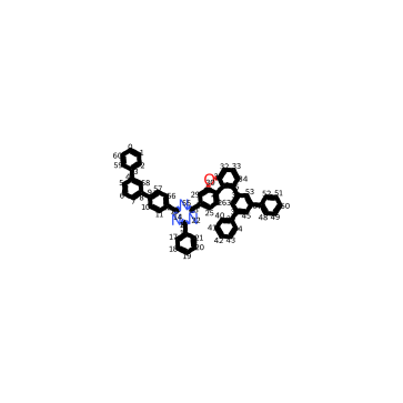 c1ccc(-c2cccc(-c3ccc(-c4nc(-c5ccccc5)nc(-c5ccc6c(c5)oc5cccc(-c7cc(-c8ccccc8)cc(-c8ccccc8)c7)c56)n4)cc3)c2)cc1